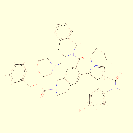 CN(C(=O)c1cc(-c2cc3c(cc2C(=O)N2Cc4ccccc4C[C@H]2CN2CCOCC2)CN(C(=O)OCc2ccccc2)CC3)n2c1CCCC2)c1ccc(O)cc1